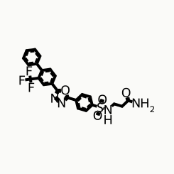 NC(=O)CCNS(=O)(=O)c1ccc(-c2nnc(-c3ccc(-c4ccccc4)c(C(F)(F)F)c3)o2)cc1